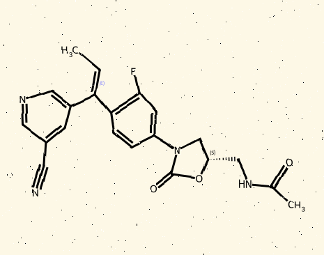 C/C=C(\c1cncc(C#N)c1)c1ccc(N2C[C@H](CNC(C)=O)OC2=O)cc1F